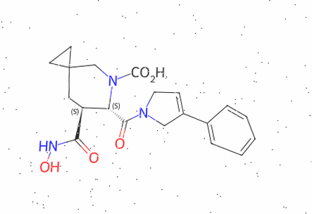 O=C(NO)[C@H]1CC2(CC2)CN(C(=O)O)[C@@H]1C(=O)N1CC=C(c2ccccc2)C1